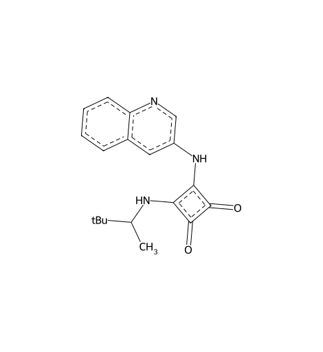 CC(Nc1c(Nc2cnc3ccccc3c2)c(=O)c1=O)C(C)(C)C